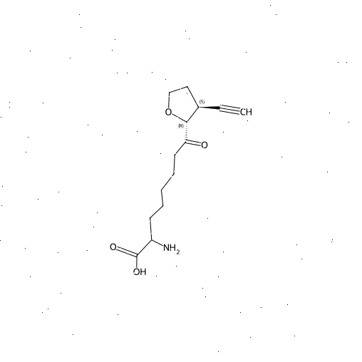 C#C[C@@H]1CCO[C@H]1C(=O)CCCCCC(N)C(=O)O